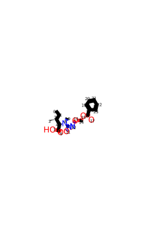 CC[C@@H](C)[C@@H](C(=O)O)N(C)/[N+]([O-])=N\OCOC(=O)c1ccccc1